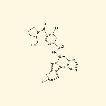 NCC1CCCN1C(=O)c1ccc(C(=O)N[C@@H](Cc2ccncc2)c2nc3cc(Cl)ccc3[nH]2)cc1Cl